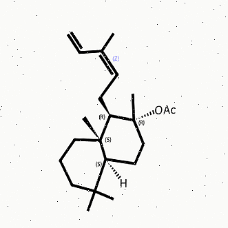 C=C/C(C)=C\C[C@@H]1[C@@]2(C)CCCC(C)(C)[C@@H]2CC[C@@]1(C)OC(C)=O